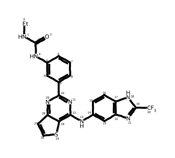 CCNC(=O)Nc1cccc(-c2nc(Nc3ccc4[nH]c(C(F)(F)F)nc4c3)c3sccc3n2)c1